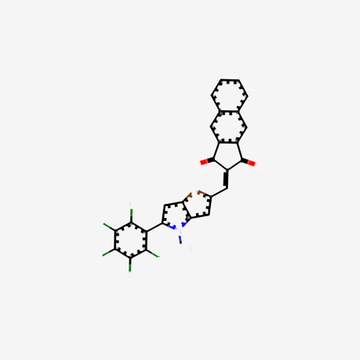 Cn1c(-c2c(F)c(F)c(F)c(F)c2F)cc2sc(C=C3C(=O)c4cc5ccccc5cc4C3=O)cc21